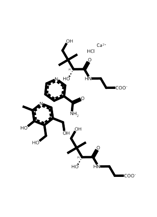 CC(C)(CO)[C@@H](O)C(=O)NCCC(=O)[O-].CC(C)(CO)[C@@H](O)C(=O)NCCC(=O)[O-].Cc1ncc(CO)c(CO)c1O.Cl.NC(=O)c1cccnc1.[Ca+2]